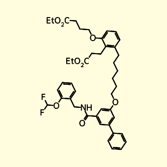 CCOC(=O)CCCOc1cccc(CCCCCCOc2cc(C(=O)NCc3ccccc3OC(F)F)cc(-c3ccccc3)c2)c1CCC(=O)OCC